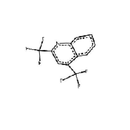 FC(F)(F)c1cc(C(F)(F)F)c2ccccc2n1